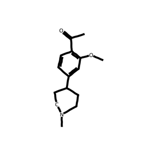 COc1cc(C2CCN(C)CC2)ccc1C(C)=O